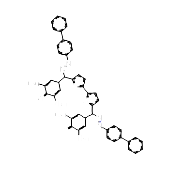 CC(C)(C)C1=CC(C(/N=N/c2ccc(-c3ccccc3)cc2)c2ccc(-c3ccc(C(/N=N/c4ccc(-c5ccccc5)cc4)C4C=C(C(C)(C)C)C(=O)C(C(C)(C)C)=C4)o3)o2)C=C(C(C)(C)C)C1=O